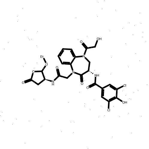 CCOC1OC(=O)C[C@@H]1NC(=O)CN1C(=O)[C@@H](NC(=O)c2cc(Cl)c(O)c(Cl)c2)CN(C(=O)CO)c2ccccc21